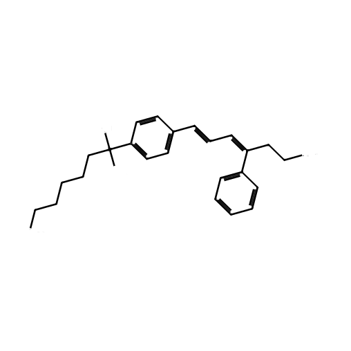 CCCCCCCCCCCCCCCC(C)(C)c1ccc(C=CC=C(CCCCCCCCCCCC)c2ccccc2)cc1